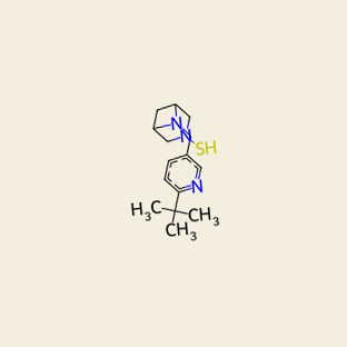 CC(C)(C)c1ccc(CN2C3CC2CN(S)C3)cn1